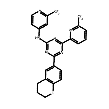 FC(F)(F)c1cc(Nc2nc(-c3ccc4c(c3)CCCO4)nc(-c3cccc(C(F)(F)F)n3)n2)ccn1